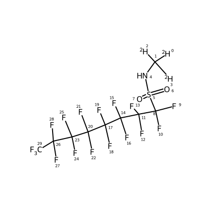 [2H]C([2H])([2H])NS(=O)(=O)C(F)(F)C(F)(F)C(F)(F)C(F)(F)C(F)(F)C(F)(F)C(F)(F)C(F)(F)F